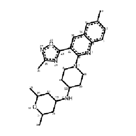 Cc1ccc2nc(N3CCC(NC4CC(C)OC(C)C4)CC3)c(-c3nc(C)no3)cc2c1